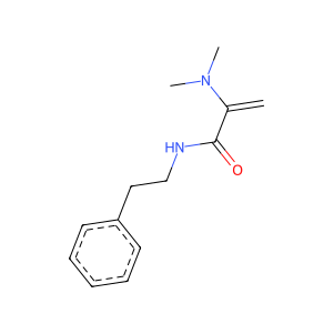 C=C(C(=O)NCCc1ccccc1)N(C)C